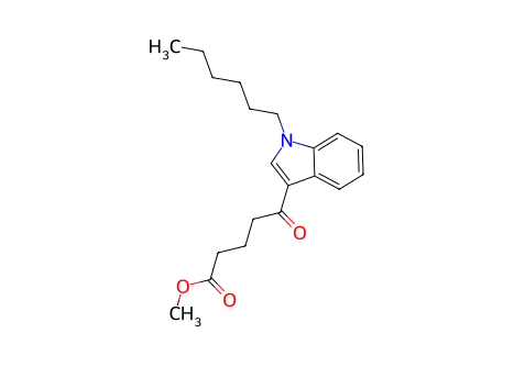 CCCCCCn1cc(C(=O)CCCC(=O)OC)c2ccccc21